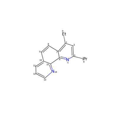 CCc1cc(C(C)C)nc2c1ccc1cccnc12